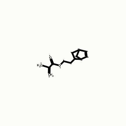 C=C(C)C(=O)OCCC1CC2C=CC1C2